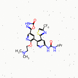 CCCNC(=O)Nc1cc(-c2nc(C(F)(F)F)cs2)c(-c2cc(-c3n[nH]c(=O)o3)cnc2OCCN(C)C)cn1